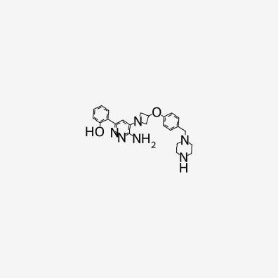 Nc1nnc(-c2ccccc2O)cc1N1CC(Oc2ccc(CN3CCNCC3)cc2)C1